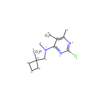 Cc1nc(Cl)nc(N(C)CC2(C(=O)O)CCC2)c1[N+](=O)[O-]